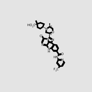 C[C@H]1CO[C@@H](c2nc3c4c(ncc(Cl)n24)Nc2cc(C(=O)Nc4cc(C(F)(F)F)ccn4)ccc2-3)CN1[C@H]1CC[C@](C)(C(=O)O)CC1